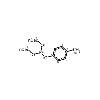 CCCCCCCCCCOP(OCCCCCCCCCC)Oc1ccc(C)cc1